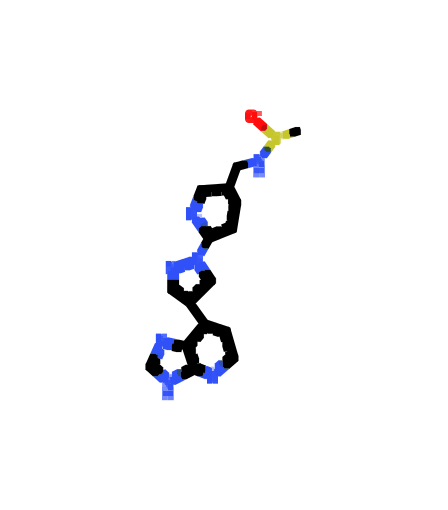 C[S+]([O-])NCc1ccc(-n2cc(-c3ccnc4[nH]cnc34)cn2)nc1